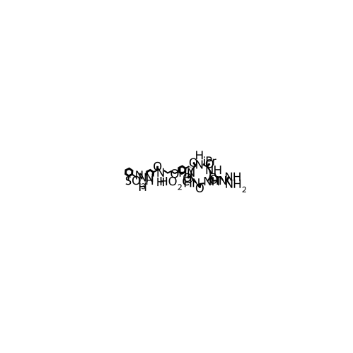 CC(C)[C@@H]1NC(=O)[C@@H](Cc2ccc(OCCCNC(=O)c3ccc(N/N=C/c4ccccc4S(=O)(=O)O)nc3)cc2)NC(=O)[C@H](CC(=O)O)NC(=O)CNC(=O)[C@H](CCCNC(=N)N)NC1=O